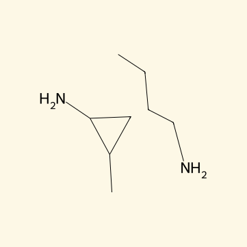 CC1CC1N.CCCCN